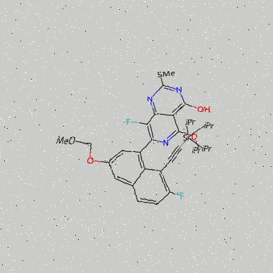 COCOc1cc(-c2nc(OC(C)C)c3c(O)nc(SC)nc3c2F)c2c(C#C[Si](C(C)C)(C(C)C)C(C)C)c(F)ccc2c1